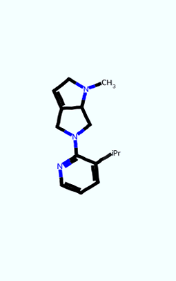 CC(C)c1cccnc1N1CC2=CCN(C)C2C1